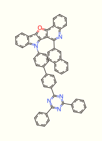 c1ccc(-c2nc(-c3ccccc3)nc(-c3ccc(-c4ccc(-n5c6ccccc6c6oc7c8ccccc8nc(-c8ccc9ccccc9c8)c7c65)cc4)cc3)n2)cc1